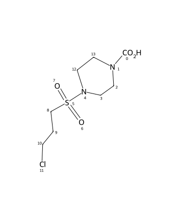 O=C(O)N1CCN(S(=O)(=O)CCCCl)CC1